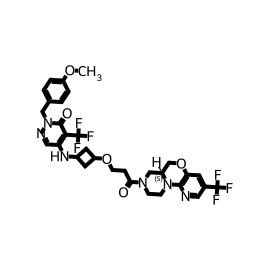 COc1ccc(Cn2ncc(NC3CC(OCCC(=O)N4CCN5c6ncc(C(F)(F)F)cc6OC[C@@H]5C4)C3)c(C(F)(F)F)c2=O)cc1